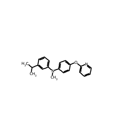 CC(C)c1cccc(N(C)c2ccc(Oc3ccccn3)cc2)c1